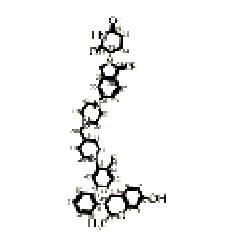 C[C@@H]1Oc2cc(O)ccc2[C@@H](C2C=C(F)C(N3CCC(CN4CCN(c5ccc6c(c5)CN([C@H]5CCC(=O)NC5=O)C6=O)CC4)CC3)=CC2)[C@H]1c1ccccc1